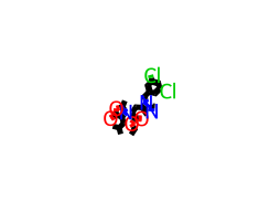 CCOC(=O)C(Cc1cncn1Cc1cc(Cl)cc(Cl)c1)N1C(C)OC(=O)C1CC(C)C